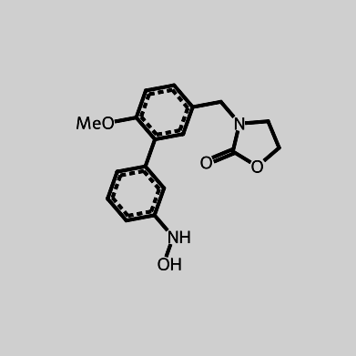 COc1ccc(CN2CCOC2=O)cc1-c1cccc(NO)c1